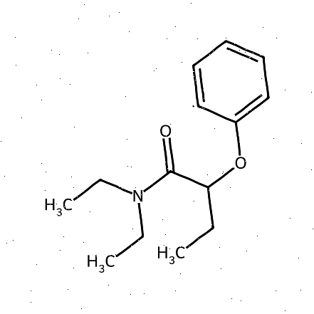 CCC(Oc1[c]cccc1)C(=O)N(CC)CC